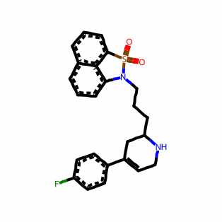 O=S1(=O)c2cccc3cccc(c23)N1CCCC1CC(c2ccc(F)cc2)=CCN1